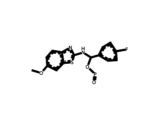 COc1ccc2nc(NC(OP=O)c3ccc(F)cc3)sc2c1